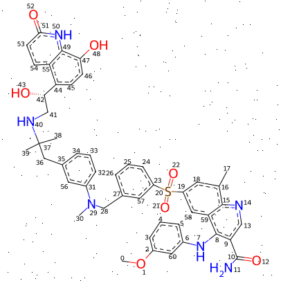 COc1cccc(Nc2c(C(N)=O)cnc3c(C)cc(S(=O)(=O)c4cccc(CN(C)c5cccc(CC(C)(C)NC[C@H](O)c6ccc(O)c7[nH]c(=O)ccc67)c5)c4)cc23)c1